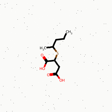 CCCC(C)SC(CC(=O)O)C(=O)O